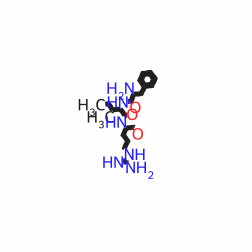 CCC(C)C(NC(=O)C(N)Cc1ccccc1)C(=O)NC(C=O)CCCNC(=N)N